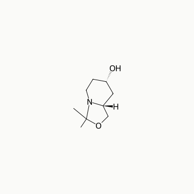 CC1(C)OC[C@H]2C[C@@H](O)CCN21